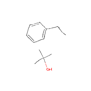 CC(C)(C)O.CCc1ccccc1